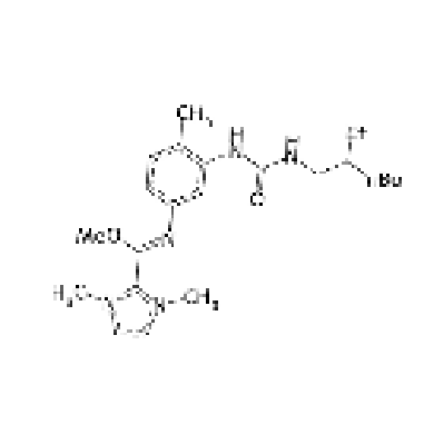 CCCCC(CC)CNC(=O)Nc1cc(/N=C(\OC)c2n(C)cc[n+]2C)ccc1C